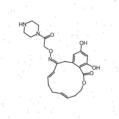 O=C1OCC/C=C/CC/C=C/C(=N/OCC(=O)N2CCNCC2)Cc2cc(O)cc(O)c21